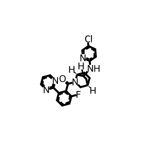 O=C(c1c(F)cccc1-c1ncccn1)N1C[C@@H]2CC[C@H]1[C@H](Nc1ccc(Cl)cn1)C2